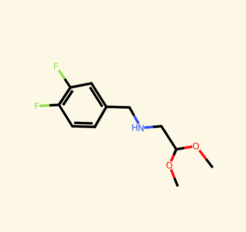 COC(CNCc1ccc(F)c(F)c1)OC